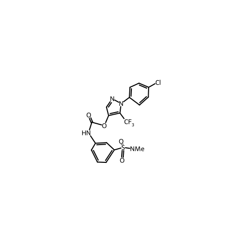 CNS(=O)(=O)c1cccc(NC(=O)Oc2cnn(-c3ccc(Cl)cc3)c2C(F)(F)F)c1